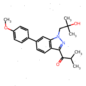 COc1ccc(-c2ccc3c(C(=O)C(C)C)nn(CC(C)(C)O)c3c2)cc1